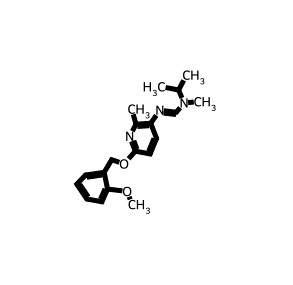 COc1ccccc1COc1ccc(/N=C/N(C)C(C)C)c(C)n1